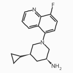 N[C@H]1C[C@@H](C2CC2)CN(c2ccc(F)c3ncccc23)C1